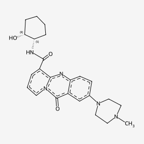 CN1CCN(c2ccc3nc4c(C(=O)N[C@H]5CCCC[C@H]5O)cccn4c(=O)c3c2)CC1